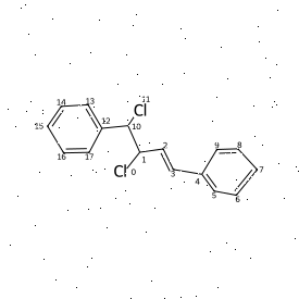 ClC(C=Cc1ccccc1)C(Cl)c1ccccc1